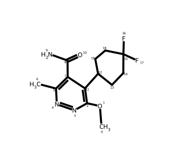 COc1nnc(C)c(C(N)=O)c1C1CCC(F)(F)CC1